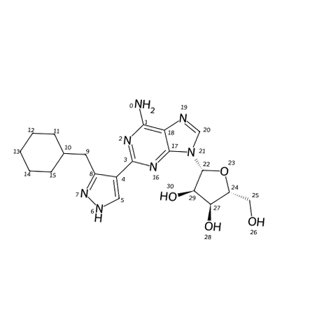 Nc1nc(-c2c[nH]nc2CC2CCCCC2)nc2c1ncn2[C@@H]1O[C@H](CO)[C@@H](O)[C@H]1O